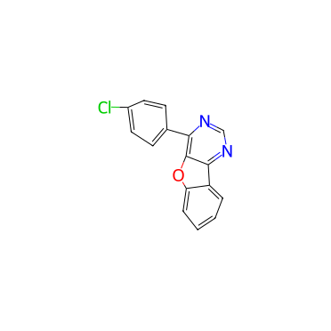 Clc1ccc(-c2ncnc3c2oc2ccccc23)cc1